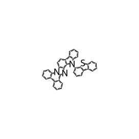 c1ccc2c(c1)sc1c(-n3c4ccccc4c4ccc5c(nc6c7ccccc7c7ccccc7n56)c43)cccc12